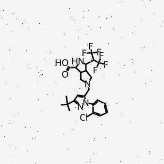 CC(C)(C)c1cc(CN2CC3C(C(=O)O)NC(C(C(F)(F)F)C(F)(F)F)C3C2)n(-c2ccccc2Cl)n1